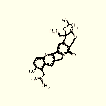 CCC1(OC(C)C)C(=O)OCc2c1cc1n(c2=O)Cc2cc3c(CN(C)C)c(O)ccc3nc2-1